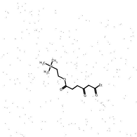 CCC(=O)CC(=O)CCC(=O)OCC[N+](C)(C)C